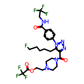 O=C(NCC(F)(F)F)c1ccc(-n2nnc(C(=O)N3CCN(CCOC(=O)C(F)(F)F)CC3)c2CCCCCF)cc1